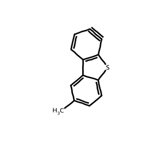 Cc1ccc2sc3c#cccc3c2c1